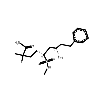 CNS(=O)(=O)[C@H](CCC(C)(F)C(N)=O)C[C@@H](O)[CH]Cc1ccccc1